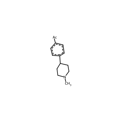 CC(=O)c1ccc(C2CCN(C)CC2)cc1